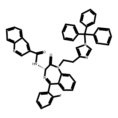 O=C(N[C@H]1N=C(c2ccccc2F)c2ccccc2N(CCc2cn(C(c3ccccc3)(c3ccccc3)c3ccccc3)cn2)C1=O)c1cnc2ccccc2c1